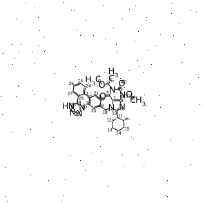 COC(C)n1c(=O)c2c(nc(C3CCCCC3)n2Cc2ccc(-c3ccccc3-c3nnn[nH]3)cc2)n(OC)c1=O